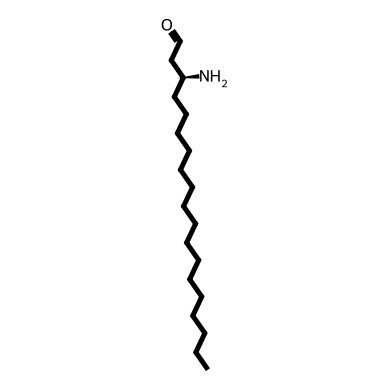 CCCCCCCCCCCCCCCC[C@H](N)CC=O